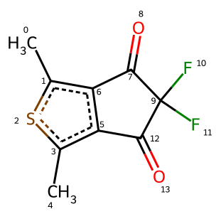 Cc1sc(C)c2c1C(=O)C(F)(F)C2=O